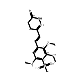 COc1cc(C=CC2=NNC(=O)CC2)c(OC)c(OC)c1S(C)(=O)=O